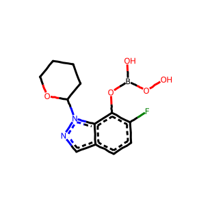 OOB(O)Oc1c(F)ccc2cnn(C3CCCCO3)c12